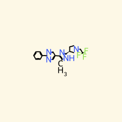 Cc1[nH]c([C@H]2CCN(CC(F)(F)F)C2)nc1-c1cnc(-c2ccccc2)nc1